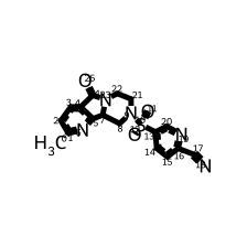 Cc1ccc2c(n1)C1CN(S(=O)(=O)c3ccc(C#N)nc3)CCN1C2=O